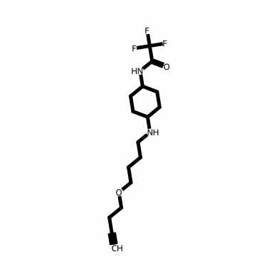 C#CCCOCCCCNC1CCC(NC(=O)C(F)(F)F)CC1